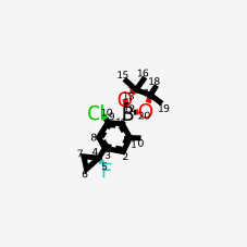 Cc1cc(C2(F)CC2)cc(Cl)c1B1OC(C)(C)C(C)(C)O1